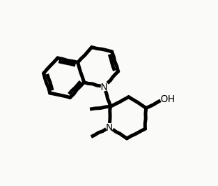 CN1CCC(O)CC1(C)N1C=CCc2ccccc21